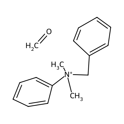 C=O.C[N+](C)(Cc1ccccc1)c1ccccc1